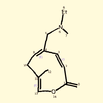 C=C1/C=C\C(CN(C)CC)=C/C/C(C)=C/O1